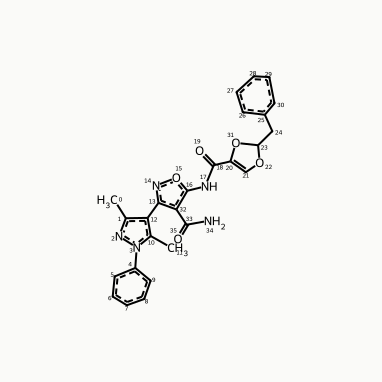 Cc1nn(-c2ccccc2)c(C)c1-c1noc(NC(=O)C2=COC(Cc3ccccc3)O2)c1C(N)=O